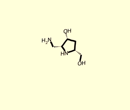 NC[C@H]1N[C@@H](CO)C[C@H]1O